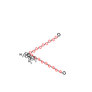 CC(C)(C)c1cc(OCCOCCOCCOCCOCCOCCOCCOCCOCc2ccccc2)c(OCCOCCOCCOCCOCCOCCOCCOCCOCc2ccccc2)c(C(C)(C)C)c1